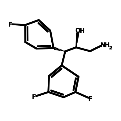 NC[C@H](O)[C@@H](c1ccc(F)cc1)c1cc(F)cc(F)c1